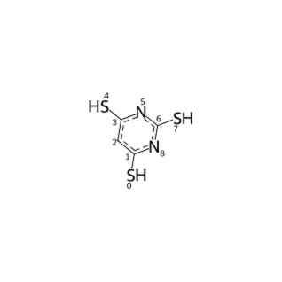 Sc1cc(S)nc(S)n1